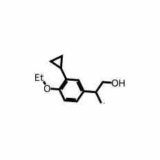 [CH2]C(CO)c1ccc(OCC)c(C2CC2)c1